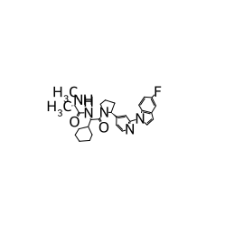 CN[C@@H](C)C(=O)N[C@H](C(=O)N1CCC[C@H]1c1ccnc(-n2ccc3cc(F)ccc32)c1)C1CCCCC1